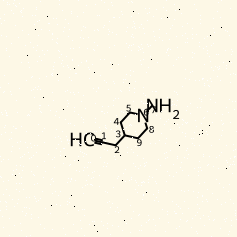 C#CCC1CCN(N)CC1